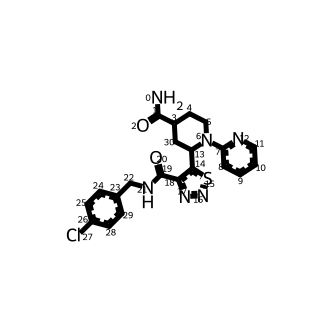 NC(=O)C1CCN(c2ccccn2)C(c2snnc2C(=O)NCc2ccc(Cl)cc2)C1